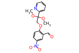 COC(COc1ccc([N+](=O)[O-])cc1C=O)(OC)c1ccccn1